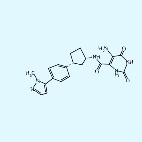 Cn1nccc1-c1ccc([C@@H]2CC[C@H](NC(=O)c3[nH]c(=O)[nH]c(=O)c3N)C2)cc1